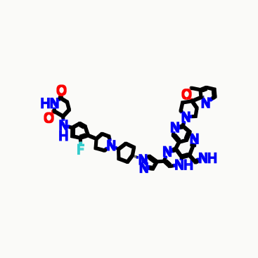 N#C/C(C=N)=C1/NC=C(c2cnn([C@H]3CC[C@H](N4CCC(c5ccc(NC6CCC(=O)NC6=O)cc5F)CC4)CC3)c2)N=C1c1ccc(N2CCC3(CC2)OCc2cccnc23)nc1